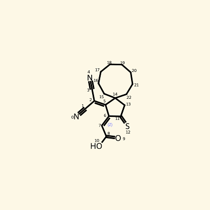 N#CC(C#N)=C1/C(=C/C(=O)O)C(=S)CC12CCCCCCCC2